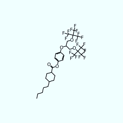 CCCCCC1CCC(C(=O)Oc2ccc(OC(COC(C(F)(F)F)(C(F)(F)F)C(F)(F)F)COC(C(F)(F)F)(C(F)(F)F)C(F)(F)F)cc2)CC1